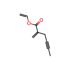 C=COC(=O)C(=C)CC#CC